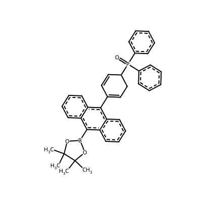 CC1(C)OB(c2c3ccccc3c(C3=CCC(P(=O)(c4ccccc4)c4ccccc4)C=C3)c3ccccc23)OC1(C)C